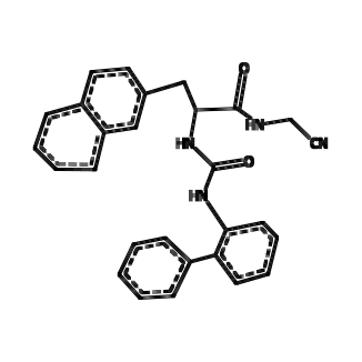 N#CCNC(=O)C(Cc1ccc2ccccc2c1)NC(=O)Nc1ccccc1-c1ccccc1